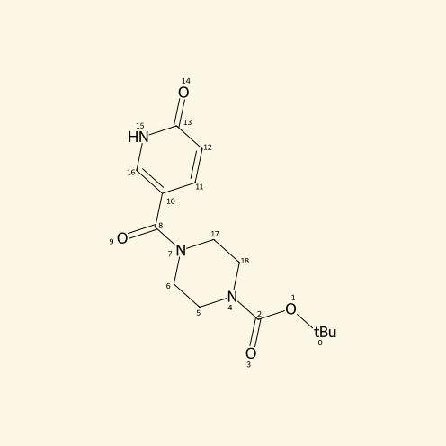 CC(C)(C)OC(=O)N1CCN(C(=O)c2ccc(=O)[nH]c2)CC1